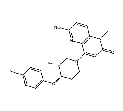 CC(C)c1ccc(O[C@@H]2CCN(c3cc(=O)n(C)c4ccc(C#N)nc34)C[C@H]2C)cc1